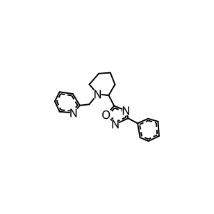 c1ccc(-c2noc(C3CCCCN3Cc3ccccn3)n2)cc1